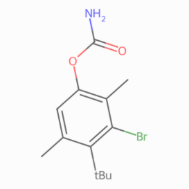 Cc1cc(OC(N)=O)c(C)c(Br)c1C(C)(C)C